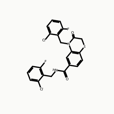 O=C(NCc1c(F)cccc1Cl)c1ccc2c(c1)N(Cc1c(F)cccc1Cl)C(=O)CS2